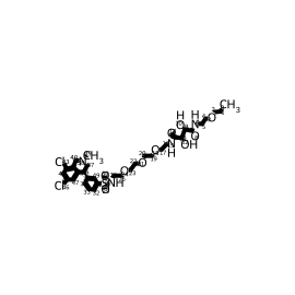 CCCOCCNC(=O)[C@@H](O)[C@H](O)C(=O)NCCOCCOCCOCCNS(=O)(=O)c1cccc([C@@H]2CN(C)Cc3c(Cl)cc(Cl)cc32)c1